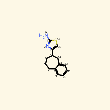 Nc1nc(C2CCCc3ccccc3C2)cs1